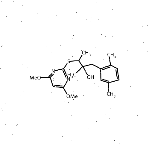 COc1cc(OC)nc(SC(C)C(C)(O)Cc2cc(C)ccc2C)n1